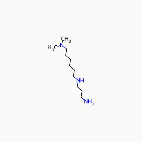 CN(C)CCCCCCNCCCN